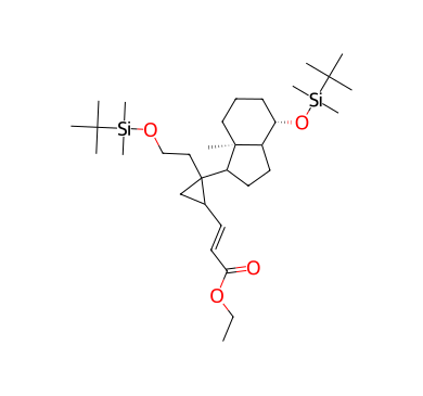 CCOC(=O)/C=C/C1CC1(CCO[Si](C)(C)C(C)(C)C)C1CCC2[C@@H](O[Si](C)(C)C(C)(C)C)CCC[C@@]21C